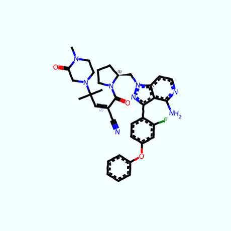 CN1CCN(C(C)(C)/C=C(/C#N)C(=O)N2CCC[C@H]2Cn2nc(-c3ccc(Oc4ccccc4)cc3F)c3c(N)nccc32)CC1=O